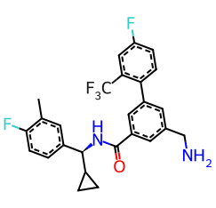 Cc1cc([C@@H](NC(=O)c2cc(CN)cc(-c3ccc(F)cc3C(F)(F)F)c2)C2CC2)ccc1F